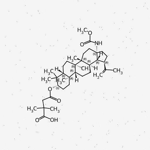 C=C(C)[C@@H]1CC[C@]2(NC(=O)OC)CC[C@]3(C)[C@H](CC[C@@H]4[C@@]5(C)CC[C@H](OC(=O)CC(C)(C)C(=O)O)C(C)(C)[C@@H]5CC[C@]43C)[C@@H]12